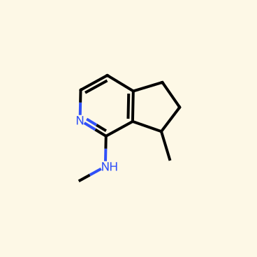 CNc1nccc2c1C(C)CC2